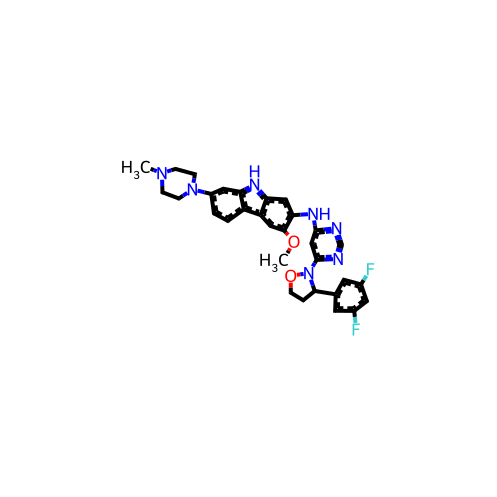 COc1cc2c(cc1Nc1cc(N3OCCC3c3cc(F)cc(F)c3)ncn1)[nH]c1cc(N3CCN(C)CC3)ccc12